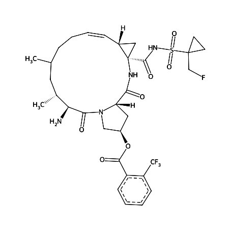 CC1CC/C=C\[C@@H]2C[C@@]2(C(=O)NS(=O)(=O)C2(CF)CC2)NC(=O)[C@@H]2C[C@@H](OC(=O)c3ccccc3C(F)(F)F)CN2C(=O)[C@@H](N)[C@H](C)C1